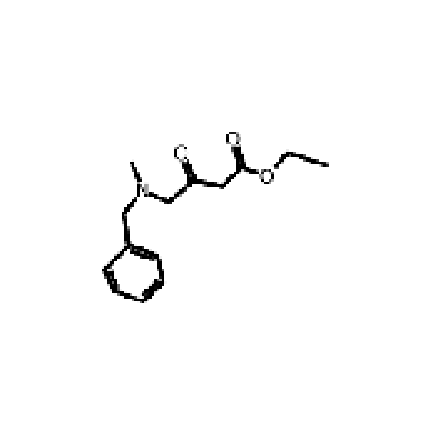 CCOC(=O)CC(=O)CN(C)Cc1ccccc1